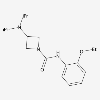 CCOc1ccccc1NC(=O)N1CC(N(C(C)C)C(C)C)C1